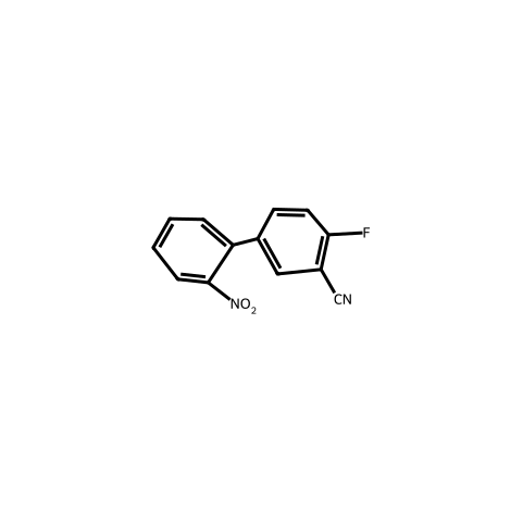 N#Cc1cc(-c2ccccc2[N+](=O)[O-])ccc1F